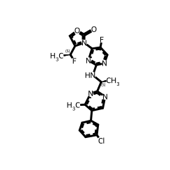 Cc1nc([C@H](C)Nc2ncc(F)c(-n3c([C@H](C)F)coc3=O)n2)ncc1-c1cccc(Cl)c1